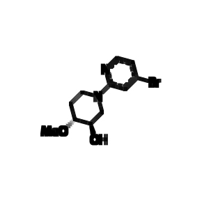 CO[C@@H]1CCN(c2cc(Br)ccn2)C[C@H]1O